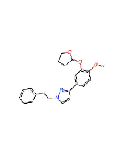 COc1ccc(-c2ccn(CCc3ccccc3)n2)cc1OC1CCCO1